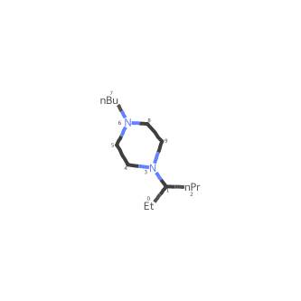 [CH2]CC(CCC)N1CCN(CCCC)CC1